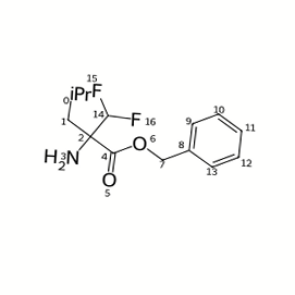 CC(C)CC(N)(C(=O)OCc1ccccc1)C(F)F